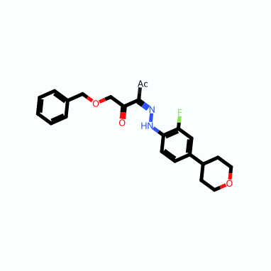 CC(=O)/C(=N/Nc1ccc(C2CCOCC2)cc1F)C(=O)COCc1ccccc1